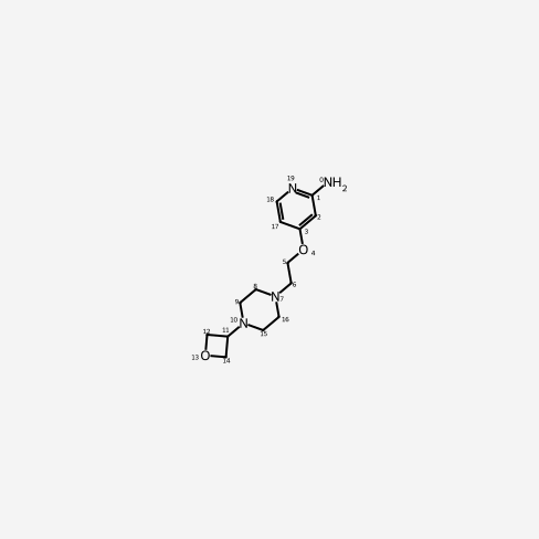 Nc1cc(OCCN2CCN(C3COC3)CC2)ccn1